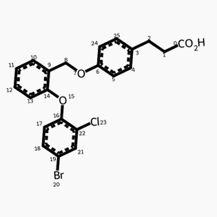 O=C(O)CCc1ccc(OCc2ccccc2Oc2ccc(Br)cc2Cl)cc1